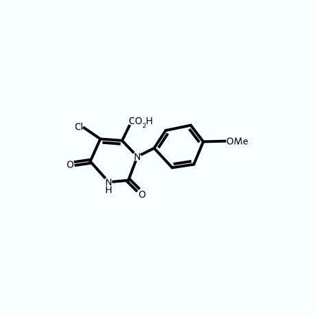 COc1ccc(-n2c(C(=O)O)c(Cl)c(=O)[nH]c2=O)cc1